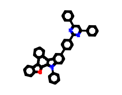 c1ccc(-c2cc(-c3ccccc3)nc(-c3ccc(-c4ccc5c(c4)c4c6ccccc6c6c7ccccc7oc6c4n5-c4ccccc4)cc3)n2)cc1